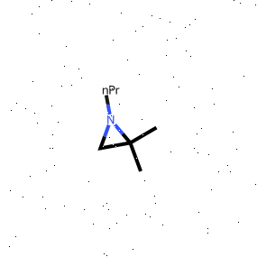 CCCN1CC1(C)C